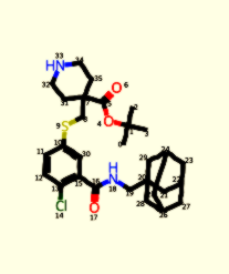 CC(C)(C)OC(=O)C1(CSc2ccc(Cl)c(C(=O)NCC34CC5CC(CC(C5)C3)C4)c2)CCNCC1